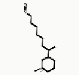 CC(CCCCCCN=O)C1CCC[C@@H](C)C1